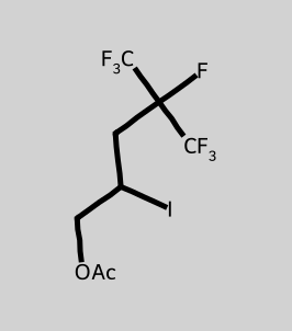 CC(=O)OCC(I)CC(F)(C(F)(F)F)C(F)(F)F